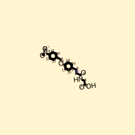 O=C(O)CNC(=O)/C=C/c1ccc(OCc2ccc([N+](=O)[O-])cc2)cc1